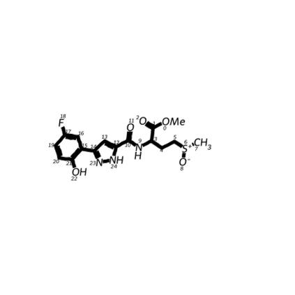 COC(=O)C(CC[S+](C)[O-])NC(=O)c1cc(-c2cc(F)ccc2O)n[nH]1